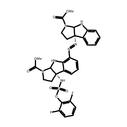 COC(=O)N1CC[C@]2(/N=N/c3cccc4c3NC3N(C(=O)OC)CC[C@]43NS(=O)(=O)Oc3c(F)cccc3F)c3ccccc3NC12